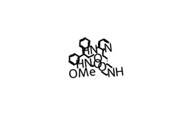 COC(=O)N[C@H](C(=O)Nc1cccnc1CC[C@@H]1CNCCO1)C(c1ccccc1)c1ccccc1